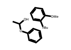 CC(O)Oc1ccccc1.CCCCc1ccccc1OC